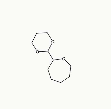 C1CCOC(C2OCCCO2)CC1